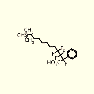 C[Si](C)(Cl)CCCCCCCC(F)(F)C(F)(F)C(F)(C(=O)O)c1ccccc1